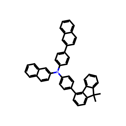 CC1(C)c2ccccc2-c2c(-c3ccc(N(c4ccc(-c5ccc6ccccc6c5)cc4)c4ccc5ccccc5c4)cc3)cccc21